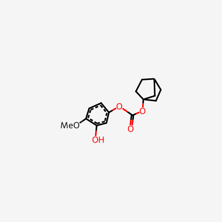 COc1ccc(OC(=O)OC23CCC(CC2)C3)cc1O